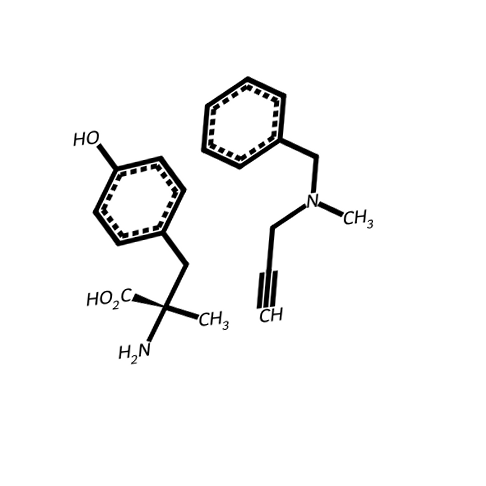 C#CCN(C)Cc1ccccc1.C[C@](N)(Cc1ccc(O)cc1)C(=O)O